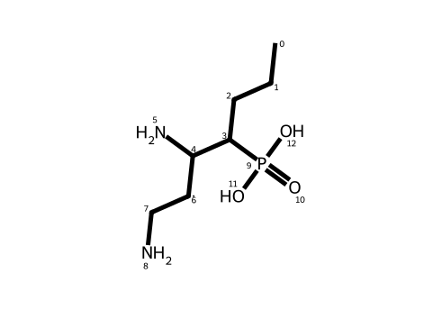 CCCC(C(N)[CH]CN)P(=O)(O)O